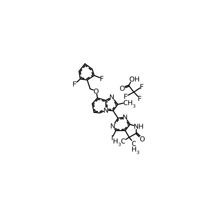 Cc1nc2c(OCc3c(F)cccc3F)cccn2c1-c1nc(I)c2c(n1)NC(=O)C2(C)C.O=C(O)C(F)(F)F